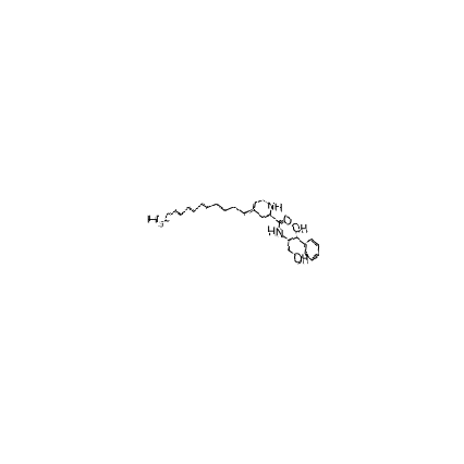 CCCCCCCCCCC[C@H]1CCN[C@@H](C(=O)N[C@H](CO)[C@H](O)c2ccccc2)C1